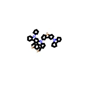 c1ccc(-n2c3ccccc3c3cc4c(cc32)N(c2ccc3sc5ccc(-n6c7ccccc7c7ccccc76)cc5c3c2)c2ccccc2C42c3ccsc3-c3sccc32)cc1